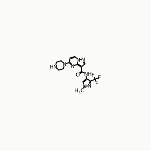 Cn1cc(NC(=O)c2cnn3ccc(N4CCNCC4)nc23)c(C(F)(F)F)n1